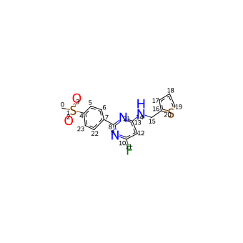 CS(=O)(=O)c1ccc(-c2nc(F)cc(NCc3cccs3)n2)cc1